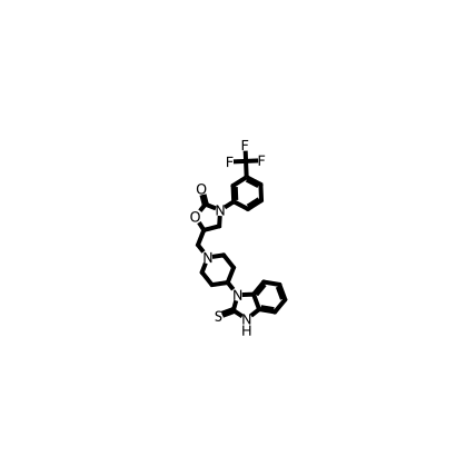 O=C1OC(CN2CCC(n3c(=S)[nH]c4ccccc43)CC2)CN1c1cccc(C(F)(F)F)c1